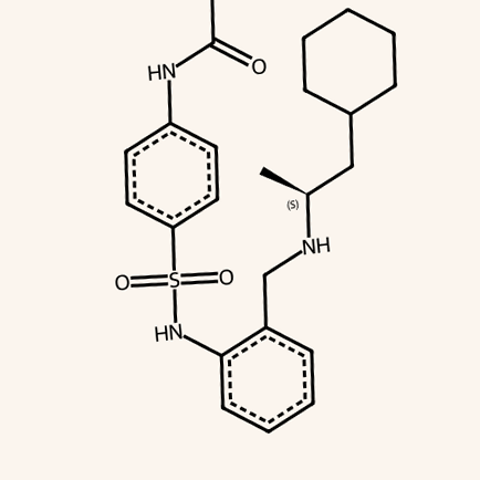 CC(=O)Nc1ccc(S(=O)(=O)Nc2ccccc2CN[C@@H](C)CC2CCCCC2)cc1